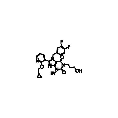 CC(C)n1c(=O)n(CCCO)c(=O)c2c1nc(-c1cccnc1OCC1CC1)n2Cc1ccc(F)c(F)c1